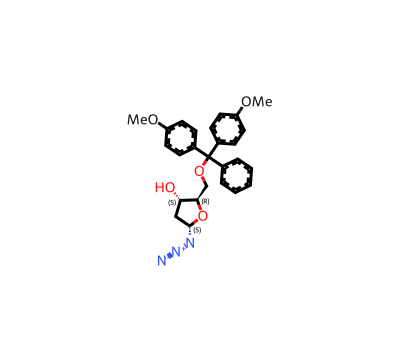 COc1ccc(C(OC[C@H]2O[C@H](N=[N+]=[N-])C[C@@H]2O)(c2ccccc2)c2ccc(OC)cc2)cc1